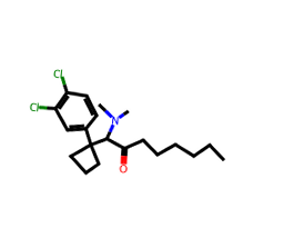 CCCCCCC(=O)C(N(C)C)C1(c2ccc(Cl)c(Cl)c2)CCC1